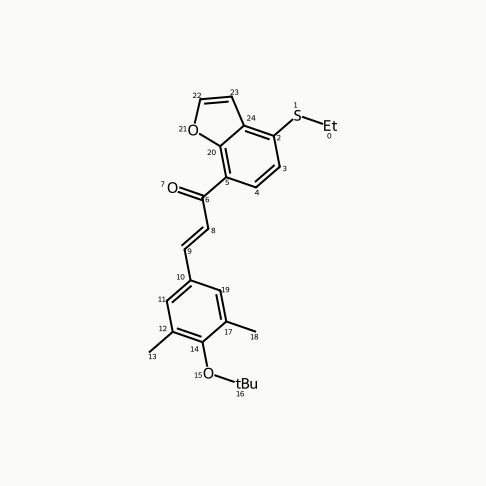 CCSc1ccc(C(=O)/C=C/c2cc(C)c(OC(C)(C)C)c(C)c2)c2occc12